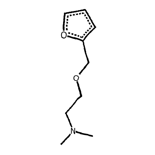 CN(C)CCOCc1ccco1